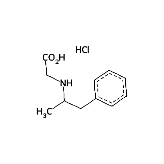 CC(Cc1ccccc1)NCC(=O)O.Cl